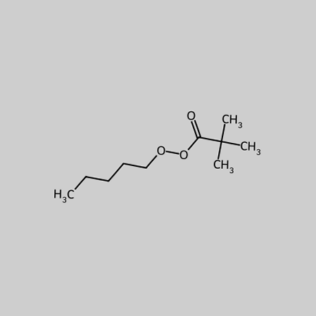 CCCCCOOC(=O)C(C)(C)C